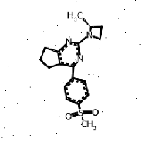 C[C@H]1CCN1c1nc2c(c(-c3ccc(S(C)(=O)=O)cc3)n1)CCC2